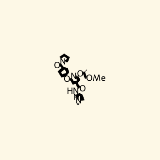 COC[C@@H](C)Oc1cc(C(=O)Nc2ccn(C)n2)cc(Oc2ccc(C(=O)N3CCCC3)cc2)n1